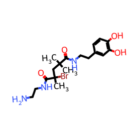 CC(C)(CC(C)(Br)C(=O)NCCN)C(=O)NCCc1ccc(O)c(O)c1